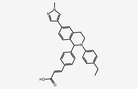 CCc1ccc(N2CCc3cc(-c4cnn(C)c4)ccc3C2c2ccc(C=CC(=O)O)cc2)cc1